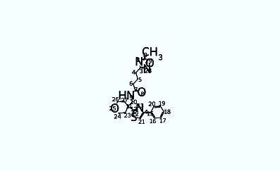 Cc1nc(CCCC(=O)NCC2(c3nc(-c4ccccc4)cs3)CCOCC2)no1